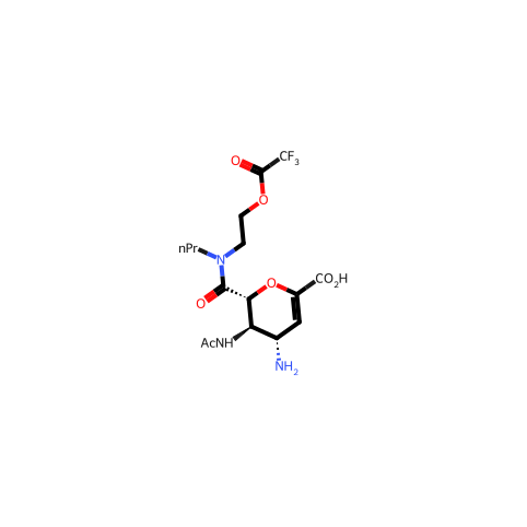 CCCN(CCOC(=O)C(F)(F)F)C(=O)[C@@H]1OC(C(=O)O)=C[C@H](N)[C@H]1NC(C)=O